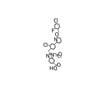 O=C(O)c1ccc2nc(Cc3ccc(-c4cccc(OCc5ccc(Cl)cc5F)n4)cc3Cl)n(C[C@@H]3CCO3)c2c1